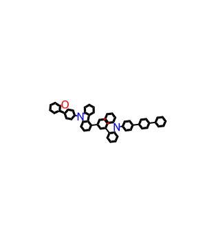 c1ccc(-c2ccc(-c3ccc(N(c4ccccc4)c4ccccc4-c4cccc(-c5cccc6c5c5ccccc5n6-c5ccc6c(c5)oc5ccccc56)c4)cc3)cc2)cc1